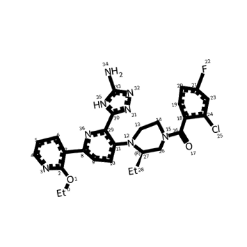 CCOc1ncccc1-c1ccc(N2CCN(C(=O)c3ccc(F)cc3Cl)C[C@H]2CC)c(-c2nnc(N)[nH]2)n1